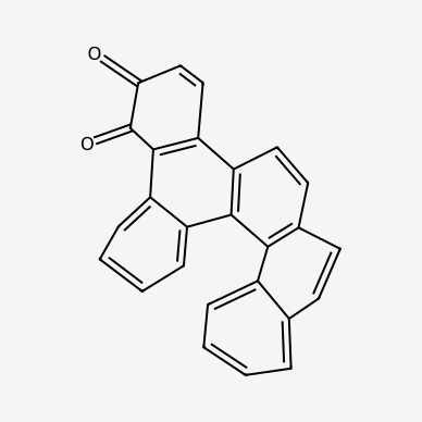 O=C1C=Cc2c(c3ccccc3c3c2ccc2ccc4ccccc4c23)C1=O